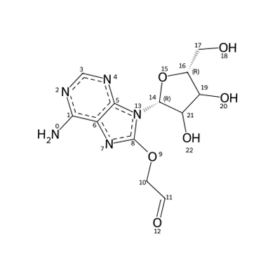 Nc1ncnc2c1nc(OCC=O)n2[C@@H]1O[C@H](CO)C(O)C1O